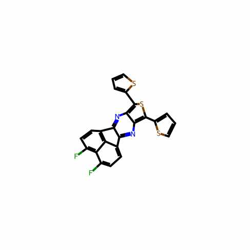 Fc1ccc2c3c(ccc(F)c13)-c1nc3c(-c4cccs4)sc(-c4cccs4)c3nc1-2